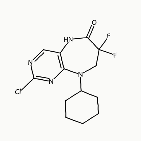 O=C1Nc2cnc(Cl)nc2N(C2CCCCC2)CC1(F)F